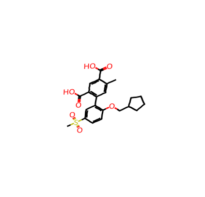 Cc1cc(-c2cc(S(C)(=O)=O)ccc2OCC2CCCC2)c(C(=O)O)cc1C(=O)O